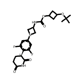 CC(C)(C)OC1CC(OC(=O)NC2CN(c3cc(F)c([C@@H]4CCC(=O)NC4=O)c(F)c3)C2)C1